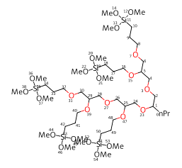 CCCC(COCC(COCCC[Si](OC)(OC)OC)OCCC[Si](OC)(OC)OC)OCC(COCC(COCCC[Si](OC)(OC)OC)OCCC[Si](OC)(OC)OC)OCCC[Si](OC)(OC)OC